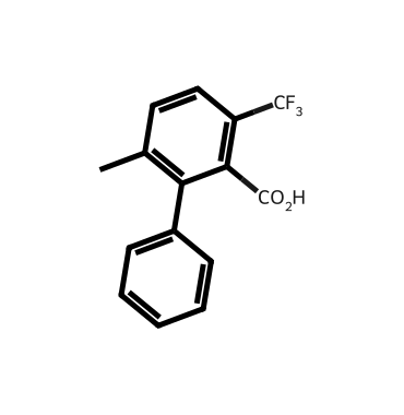 Cc1ccc(C(F)(F)F)c(C(=O)O)c1-c1ccccc1